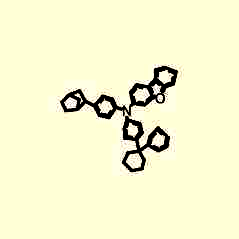 c1ccc(C2(c3ccc(N(c4ccc(C5CC6CCC5C6)cc4)c4ccc5c(c4)oc4ccccc45)cc3)CCCCC2)cc1